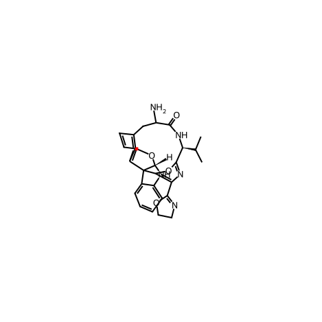 CC(C)[C@@H]1NC(=O)C(N)Cc2ccc3c(c2)C2(c4ccccc4N[C@H]2O3)c2oc1nc2C1=NCCO1